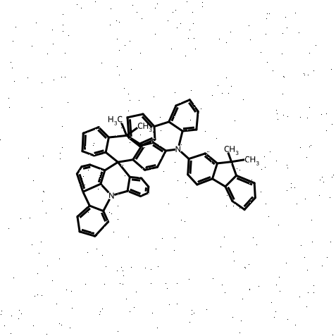 CC1(C)c2ccccc2-c2ccc(N(c3ccc4c(c3)C(C)(C)c3ccccc3C43c4ccccc4-n4c5ccccc5c5cccc3c54)c3ccccc3-c3ccccc3)cc21